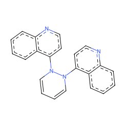 C1=CN(c2ccnc3ccccc23)N(c2ccnc3ccccc23)C=C1